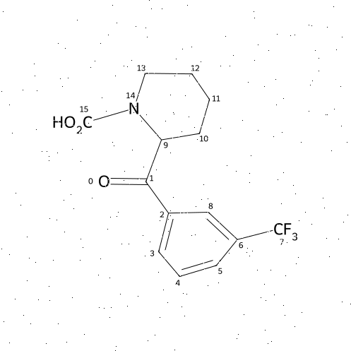 O=C(c1cccc(C(F)(F)F)c1)C1CCCCN1C(=O)O